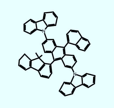 CC1(C)C2=C(C=CCC2)c2cccc(-c3c4cc(-n5c6ccccc6c6ccccc65)ccc4c(-c4cccc5ccccc45)c4cc(-n5c6ccccc6c6ccccc65)ccc34)c21